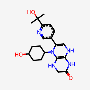 CC(C)(O)c1ccc(C2=CNC3=C(NCC(=O)N3)N2C2CCC(O)CC2)cn1